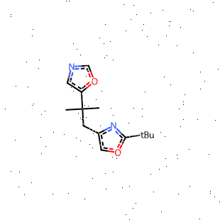 CC(C)(C)c1nc(CC(C)(C)c2cnco2)co1